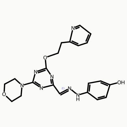 Oc1ccc(N/N=C/c2nc(OCCc3ccccn3)nc(N3CCOCC3)n2)cc1